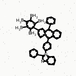 Bc1c(B)c(B)c(-c2ccc3c(-c4ccc(-n5c(-c6ccccc6)nc6ccccc65)cc4)c4ccccc4c(-c4ccccc4)c3c2)c(B)c1B